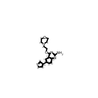 Nc1nc(OCCN2CCOCC2)c2cc(-c3ccsc3)ccc2n1